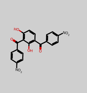 O=C(c1ccc([N+](=O)[O-])cc1)c1ccc(O)c(C(=O)c2ccc([N+](=O)[O-])cc2)c1O